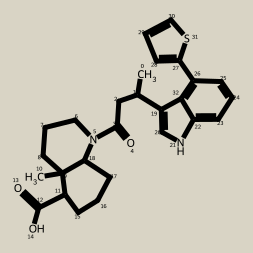 CC(CC(=O)N1CCCC2(C)C(C(=O)O)CCCC12)c1c[nH]c2cccc(-c3cccs3)c12